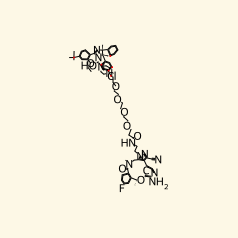 CCOc1cc(C(C)(C)C)ccc1C1=N[C@](C)(c2ccccc2)[C@](C)(c2ccc(Cl)cc2)N1C(O)N1CCN(CCOCCOCCOCCOCCC(=O)NCCn2nc(C#N)c3c2CN(C)C(=O)c2ccc(F)cc2[C@@H](C)Oc2cc-3cnc2N)CC1